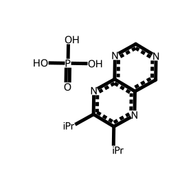 CC(C)c1nc2cncnc2nc1C(C)C.O=P(O)(O)O